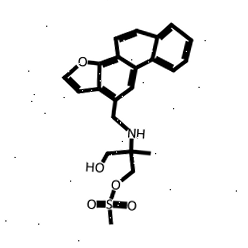 CC(CO)(COS(C)(=O)=O)NCc1cc2c3ccccc3ccc2c2occc12